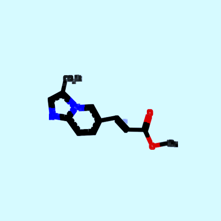 CCOC(=O)c1cnc2ccc(/C=C/C(=O)OC(C)(C)C)cn12